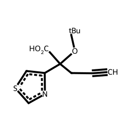 C#CCC(OC(C)(C)C)(C(=O)O)c1cscn1